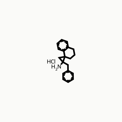 Cl.NC1(Cc2ccccc2)CC12CCCc1ccccc12